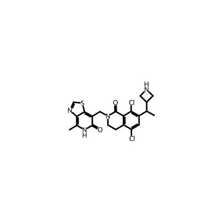 Cc1[nH]c(=O)c(CN2CCc3c(Cl)cc(C(C)C4CNC4)c(Cl)c3C2=O)c2scnc12